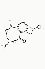 CC1COC(=O)c2ccc3c(c2C(=O)O1)CC3C